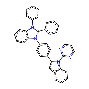 c1ccc(B2N(c3ccccc3)c3ccccc3N2c2ccc(-c3cc4ccccc4n3-c3ncccn3)cc2)cc1